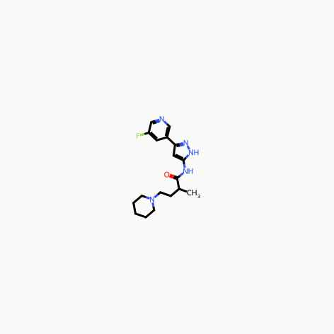 CC(CCN1CCCCC1)C(=O)Nc1cc(-c2cncc(F)c2)n[nH]1